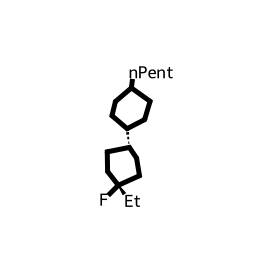 CCCCCC1CCC([C@H]2CC[C@](F)(CC)CC2)CC1